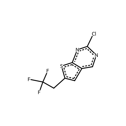 FC(F)(F)Cc1cc2cnc(Cl)nc2s1